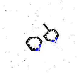 Cc1ccncc1.c1ccncc1